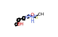 C#Cc1nc(NC(=O)N2CCN(c3ccc(-c4cccc(C5(O)CCCC5)c4)cc3)CC2)cs1